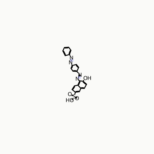 O=S(=O)(O)c1ccc2c(/N=N/c3ccc(/N=N/c4ccccc4)cc3)c(O)ccc2c1